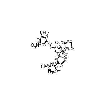 [CH2]c1cc(OCCCN(c2cc(-c3nc(Cl)ncc3F)ccc2F)S(=O)(=O)c2ccccc2[N+](=O)[O-])cc([N+](=O)[O-])c1